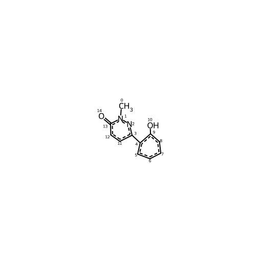 Cn1nc(-c2ccccc2O)ccc1=O